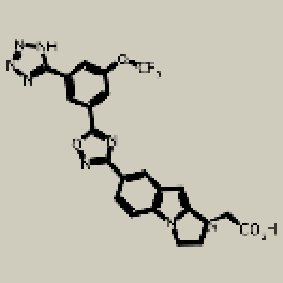 O=C(O)C[C@H]1CCn2c1cc1cc(-c3noc(-c4cc(OC(F)(F)F)cc(-c5nnn[nH]5)c4)n3)ccc12